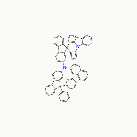 c1ccc(C2(c3ccccc3)c3ccccc3-c3ccc(N(c4ccc5c(c4)C4(c6ccccc6-5)c5ccccc5-n5c6ccccc6c6cccc4c65)c4ccc5ccccc5c4)cc32)cc1